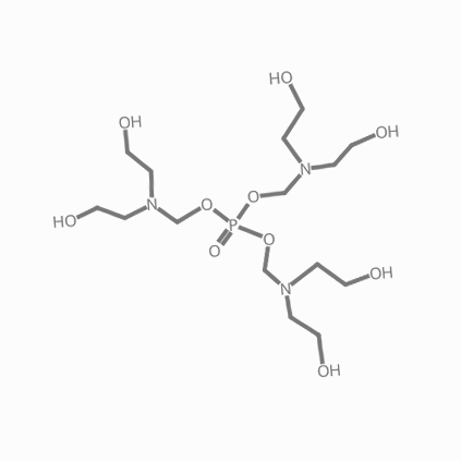 O=P(OCN(CCO)CCO)(OCN(CCO)CCO)OCN(CCO)CCO